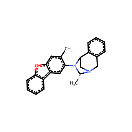 Cc1cc2oc3ccccc3c2cc1N1C2CN(Cc3ccccc32)[C@@H]1C